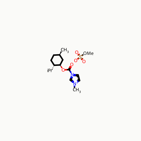 CC(C)[C@@H]1CC[C@@H](C)C[C@H]1OC(=O)n1cc[n+](C)c1.COS(=O)(=O)[O-]